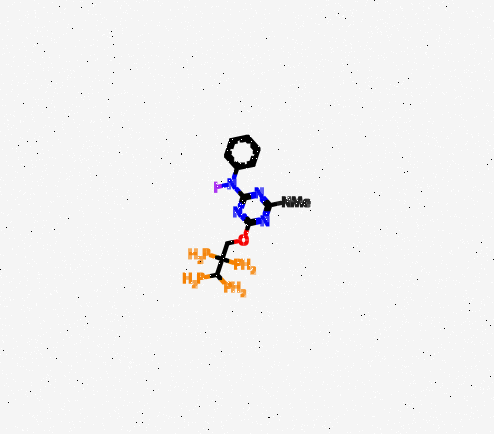 CNc1nc(OCC(P)(P)C(P)P)nc(N(I)c2ccccc2)n1